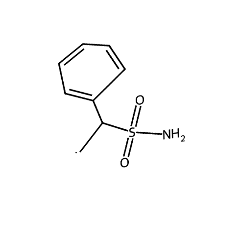 [CH2]C(c1ccccc1)S(N)(=O)=O